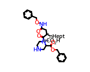 CCCCCCC[C@H](CC(=O)NOCc1ccccc1)C(=O)[N@+]1(C(=O)O)CCNCC1C(=O)OCc1ccccc1